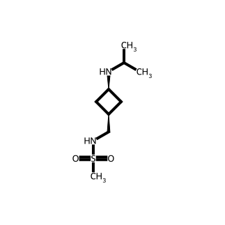 CC(C)N[C@H]1C[C@@H](CNS(C)(=O)=O)C1